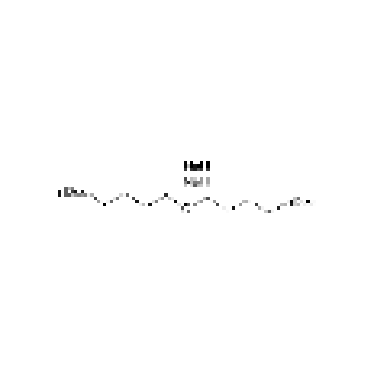 CCCCCCCCCCCCCCOCCCCCCCCCCCCCC.[NaH].[NaH]